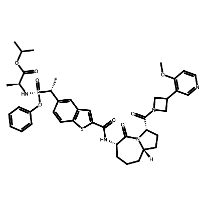 COc1ccncc1C1CN(C(=O)[C@@H]2CC[C@@H]3CCC[C@H](NC(=O)c4cc5cc([C@@H](F)[P@@](=O)(N[C@@H](C)C(=O)OC(C)C)Oc6ccccc6)ccc5s4)C(=O)N32)C1